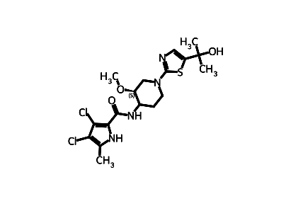 CO[C@H]1CN(c2ncc(C(C)(C)O)s2)CCC1NC(=O)c1[nH]c(C)c(Cl)c1Cl